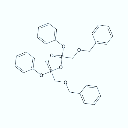 O=P(COCc1ccccc1)(Oc1ccccc1)OP(=O)(COCc1ccccc1)Oc1ccccc1